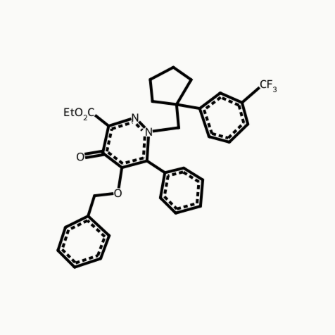 CCOC(=O)c1nn(CC2(c3cccc(C(F)(F)F)c3)CCCC2)c(-c2ccccc2)c(OCc2ccccc2)c1=O